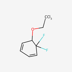 FC1(F)C=CC=CC1OCC(Cl)(Cl)Cl